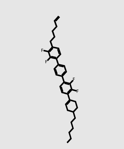 C=CCCCCc1ccc(-c2ccc(-c3ccc(C4=CCC(CCCCCC)CC4)c(F)c3F)cc2)c(F)c1F